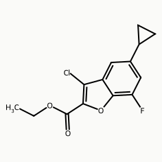 CCOC(=O)c1oc2c(F)cc(C3CC3)cc2c1Cl